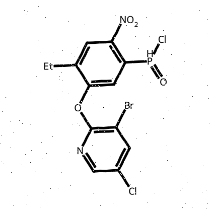 CCc1cc([N+](=O)[O-])c([PH](=O)Cl)cc1Oc1ncc(Cl)cc1Br